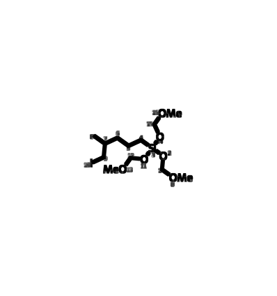 COCO[Si](CCCC(C)CI)(OCOC)OCOC